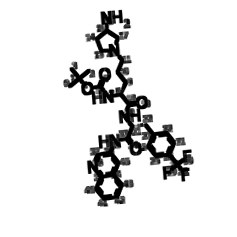 CC(C)(C)OC(=O)N[C@@H](CCCN1CCC(N)C1)C(=O)N[C@H](Cc1ccc(C(F)(F)F)cc1)C(=O)Nc1cnc2ccccc2c1